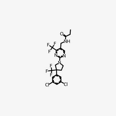 CCC(=O)NCc1cnc(N2CCC(c3cc(Cl)cc(Cl)c3)(C(F)(F)F)C2)nc1C(F)(F)F